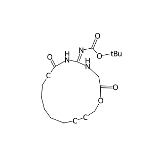 CC(C)(C)OC(=O)N=C1NCC(=O)OCCCCCCCCCC(=O)N1